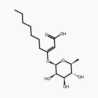 CCCCCCCC(=CC(=O)O)O[C@H]1O[C@@H](C)[C@H](O)[C@@H](O)[C@H]1O